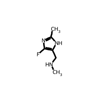 CNCc1[nH]c(C)nc1F